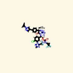 CC(C)(C)C[C@]1(c2ccc(-c3cnn(C4CC4)c3)cc2)NC(=N)N([C@H](COC(=O)N[C@H]2CC2(F)F)c2ccc(Cl)c(-n3ncnc3C(F)F)c2)C1=O